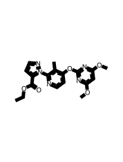 CCOC(=O)c1ccnn1-c1nccc(Oc2nc(OC)cc(OC)n2)c1C